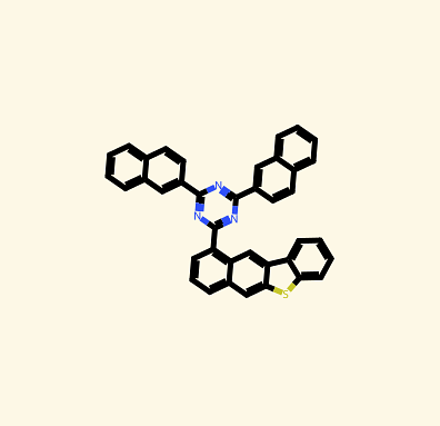 c1ccc2cc(-c3nc(-c4ccc5ccccc5c4)nc(-c4cccc5cc6sc7ccccc7c6cc45)n3)ccc2c1